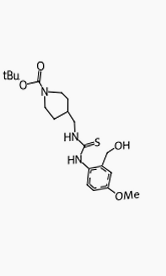 COc1ccc(NC(=S)NCC2CCN(C(=O)OC(C)(C)C)CC2)c(CO)c1